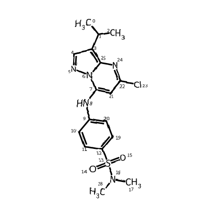 CC(C)c1cnn2c(Nc3ccc(S(=O)(=O)N(C)C)cc3)cc(Cl)nc12